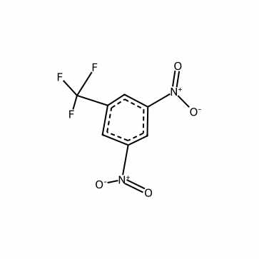 O=[N+]([O-])c1cc([N+](=O)[O-])cc(C(F)(F)F)c1